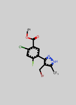 CC(C)OC(=O)c1cc(-c2n[nH]c(C(F)(F)F)c2CBr)c(F)cc1Cl